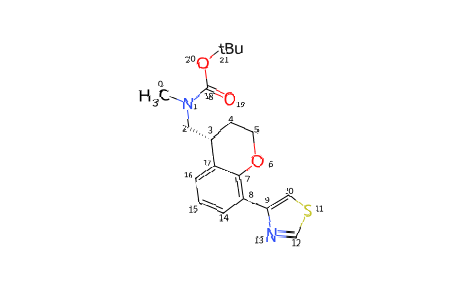 CN(C[C@@H]1CCOc2c(-c3cscn3)cccc21)C(=O)OC(C)(C)C